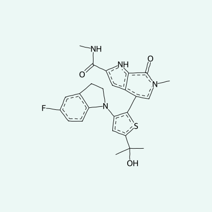 CNC(=O)c1cc2c(-c3sc(C(C)(C)O)cc3N3CCc4cc(F)ccc43)cn(C)c(=O)c2[nH]1